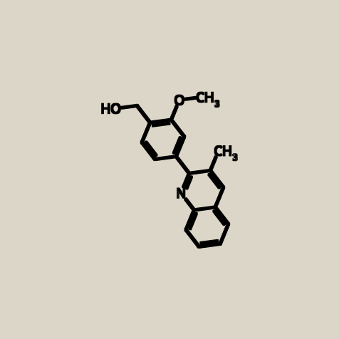 COc1cc(-c2nc3ccccc3cc2C)ccc1CO